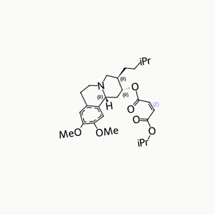 COc1cc2c(cc1OC)[C@H]1C[C@@H](OC(=O)/C=C\C(=O)OC(C)C)[C@H](CCC(C)C)CN1CC2